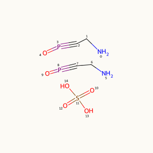 NCC#P=O.NCC#P=O.O=S(=O)(O)O